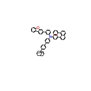 c1ccc(-c2cccc3cccc(-c4ccc(N(c5ccc(-c6ccc(C78CC9CC(CC(C9)C7)C8)cc6)cc5)c5cccc(-c6ccc7c(c6)oc6ccccc67)c5)cc4)c23)cc1